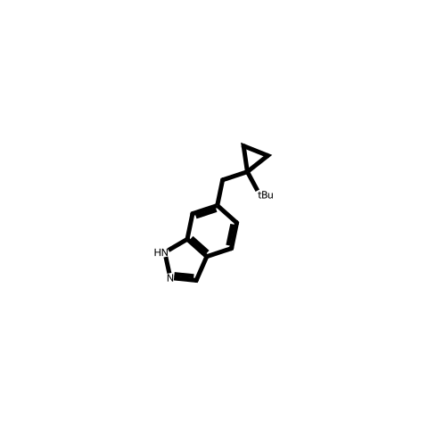 CC(C)(C)C1(Cc2ccc3cn[nH]c3c2)CC1